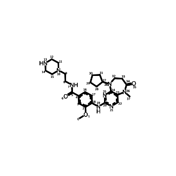 COc1cc(C(=O)NCCN2CCNCC2)ccc1Nc1ncc2c(n1)N(C1CCCC1)CCC(=O)N2C